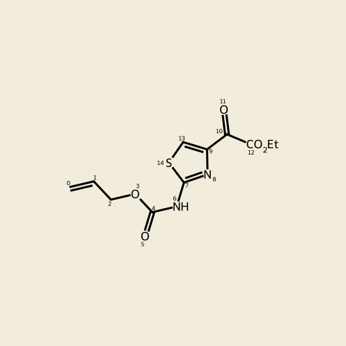 C=CCOC(=O)Nc1nc(C(=O)C(=O)OCC)cs1